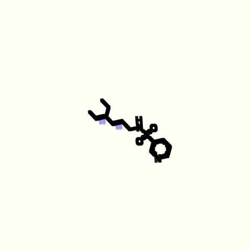 C/C=C(/C=C/CNS(=O)(=O)c1cccnc1)CC